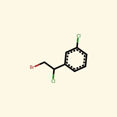 Clc1cccc(C(Cl)CBr)c1